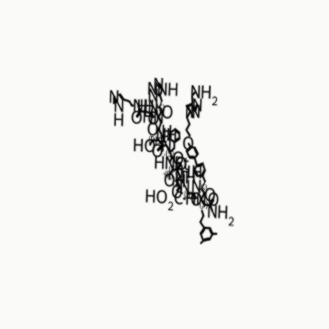 CCc1cc(OCCCCn2cc(CN)nn2)ccc1-c1ccc(C[C@H](NC(=O)[C@H](CC(=O)O)NC(=O)[C@H](C)NC(=O)[C@@H](NC(=O)[C@](C)(Cc2ccccc2F)NC(=O)[C@@H](NC(=O)CNC(=O)[C@H](Cc2nnn[nH]2)NC(=O)C(C)(C)C(=O)NCCc2cnc[nH]2)[C@@H](C)O)[C@@H](C)O)C(=O)N[C@@H](CCCc2cc(C)cc(C)c2)C(N)=O)cc1